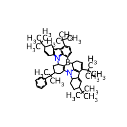 CC(C)(C)C1=CCC2B3C4=C(CC(C(C)(C)c5ccccc5)CC4n4c5c(c6c(C(C)(C)C)ccc3c64)CC(C(C)(C)C)C=C5)N3C2=C1C1=CC(C(C)(C)C)CCC13